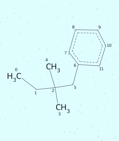 CCC(C)(C)Cc1[c]cccc1